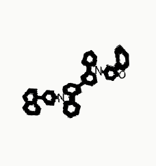 c1ccc2c(-c3ccc(-n4c5ccccc5c5cc(-c6ccc7c(c6)c6ccccc6n7-c6ccc7oc8ccccc8c7c6)ccc54)cc3)cccc2c1